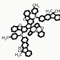 Cc1ccc(N(c2ccc3cc4c(cc3c2)C(C)(C)c2ccccc2-4)c2cc3c(c4oc5ccccc5c24)-c2c(cc(N(c4ccc(C)cc4)c4ccc5cc6c(cc5c4)C(C)(C)c4ccccc4-6)c4c2oc2ccccc24)C32c3ccccc3N3c4ccccc4Oc4cccc2c43)cc1